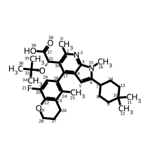 Cc1nc2c(cc(C3CCC(C)(C)CC3)n2C)c(-c2cc(F)c3c(c2C)CCCO3)c1[C@H](OC(C)(C)C)C(=O)O